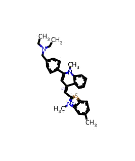 CCN(CC)Cc1ccc(C2=C/C(=C/c3sc4ccc(C)cc4[n+]3C)c3ccccc3N2C)cc1